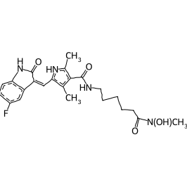 Cc1[nH]c(C=C2C(=O)Nc3ccc(F)cc32)c(C)c1C(=O)NCCCCCC(=O)N(C)O